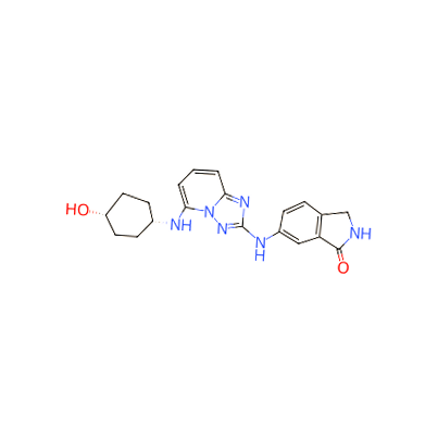 O=C1NCc2ccc(Nc3nc4cccc(N[C@H]5CC[C@@H](O)CC5)n4n3)cc21